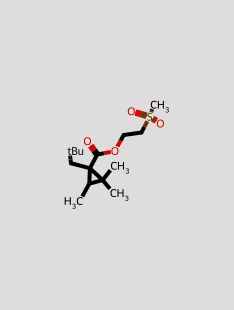 CC1C(C)(C)C1(CC(C)(C)C)C(=O)OCCS(C)(=O)=O